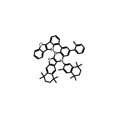 Cc1ccccc1-c1cc2c3c(c1)N(c1cc4c(cc1C)C(C)(C)CCC4(C)C)c1c(sc4cc5c(cc14)C(C)(C)CCC5(C)C)B3n1c3c-2cccc3c2oc3ccccc3c21